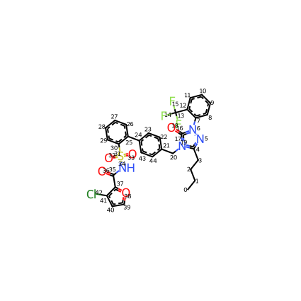 CCCCc1nn(-c2ccccc2C(F)(F)F)c(=O)n1Cc1ccc(-c2ccccc2S(=O)(=O)NC(=O)c2occc2Cl)cc1